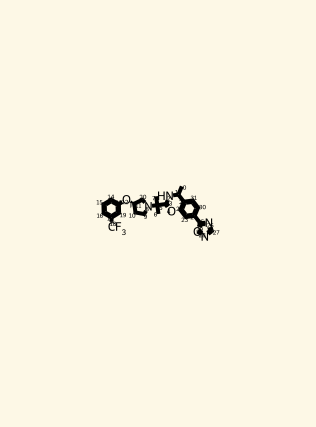 CC(NC(=O)C(C)(C)N1CC[C@@H](Oc2cccc(C(F)(F)F)c2)C1)c1ccc(-c2ncno2)cc1